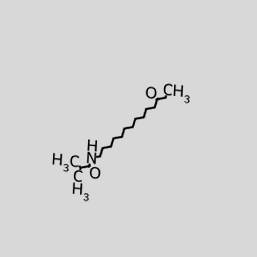 CCC(=O)CCCCCCCCCCCNC(=O)C(C)C